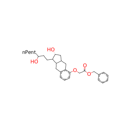 CCCCCC(O)CCC1C2Cc3cccc(OCC(=O)OCc4ccccc4)c3CC2C[C@H]1O